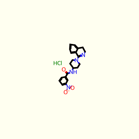 Cl.O=C(NC1CCN(C2=NCCc3ccccc32)CC1)c1cccc([N+](=O)[O-])c1